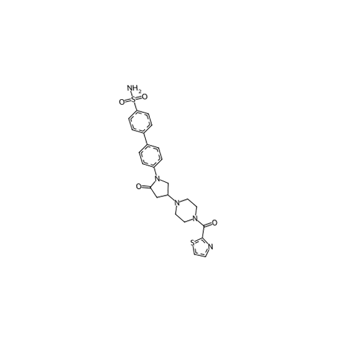 NS(=O)(=O)c1ccc(-c2ccc(N3CC(N4CCN(C(=O)c5nccs5)CC4)CC3=O)cc2)cc1